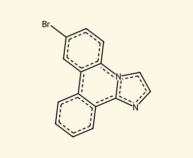 Brc1ccc2c(c1)c1ccccc1c1nccn21